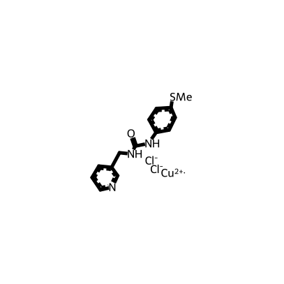 CSc1ccc(NC(=O)NCc2cccnc2)cc1.[Cl-].[Cl-].[Cu+2]